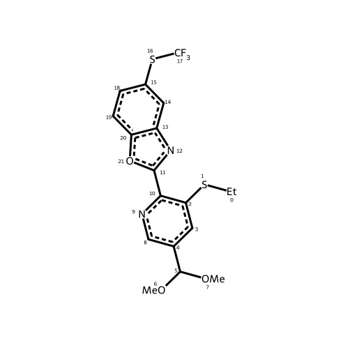 CCSc1cc(C(OC)OC)cnc1-c1nc2cc(SC(F)(F)F)ccc2o1